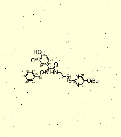 CC(C)COc1cnc(SSCCNC(=O)C(=NOCc2ccccc2)c2ccc(O)c(Cl)c2)nc1